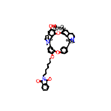 COc1cc2c3cc1Oc1c(OC)c(O)cc4c1[C@@H](Cc1ccc(OCCCCCCCN5C(=O)c6ccccc6C5=O)c(c1)Oc1ccc(cc1)C[C@@H]3N(C)CC2)N(C)CC4